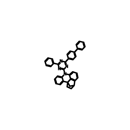 c1ccc(-c2ccc(-c3nc(-c4ccccc4)nc(N4c5ccccc5C56CCC(C5)c5cccc4c56)n3)cc2)cc1